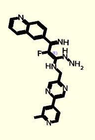 Cc1cc(-c2cnc(CN/C(NN)=C(\F)C(=N)c3ccc4ncccc4c3)cn2)ccn1